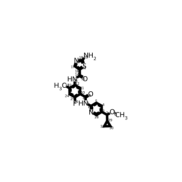 COC(c1ccc(NC(=O)c2cc(NC(=O)c3cnc(N)s3)c(C)cc2F)nc1)C1CC1